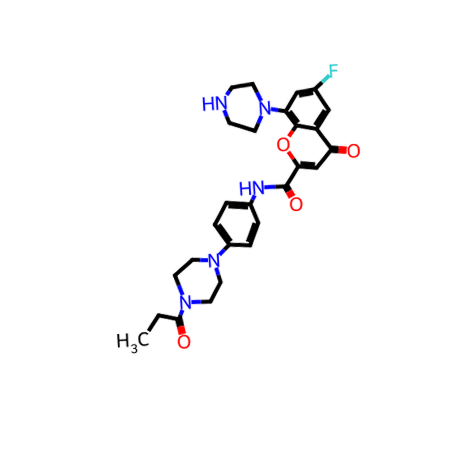 CCC(=O)N1CCN(c2ccc(NC(=O)c3cc(=O)c4cc(F)cc(N5CCNCC5)c4o3)cc2)CC1